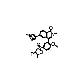 COc1ccc(S(=O)(=O)CC(F)F)cc1-c1cn(C)c(=O)c2ccc(-c3cnn(C)c3)cc12